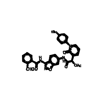 CC(=O)OC(C(=O)Nc1ccc2c(NC(=O)c3ccccc3C=O)noc2c1)c1cccn(-c2ccc(C(C)(C)C)cc2)c1=O